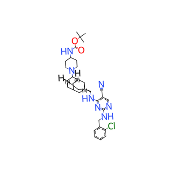 CC(C)(C)OC(=O)NC1CCN(C2[C@@H]3CC4C[C@H]2C[C@@](CNc2nc(NCc5ccccc5Cl)ncc2C#N)(C4)C3)CC1